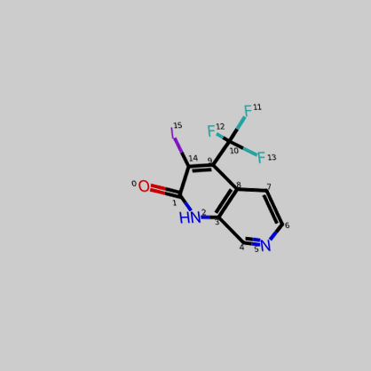 O=c1[nH]c2cnccc2c(C(F)(F)F)c1I